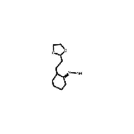 ON=C1CCCCC1CCC1OCCO1